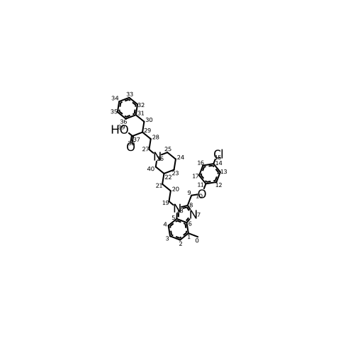 Cc1cccc2c1nc(COc1ccc(Cl)cc1)n2CCCC1CCCN(CCC(Cc2ccccc2)C(=O)O)C1